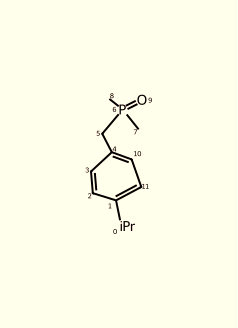 CC(C)c1ccc(CP(C)(C)=O)cc1